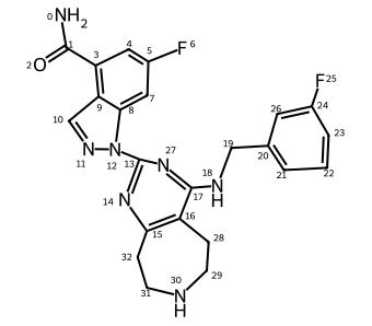 NC(=O)c1cc(F)cc2c1cnn2-c1nc2c(c(NCc3cccc(F)c3)n1)CCNCC2